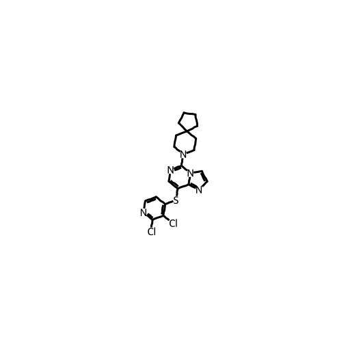 Clc1nccc(Sc2cnc(N3CCC4(CCCC4)CC3)n3ccnc23)c1Cl